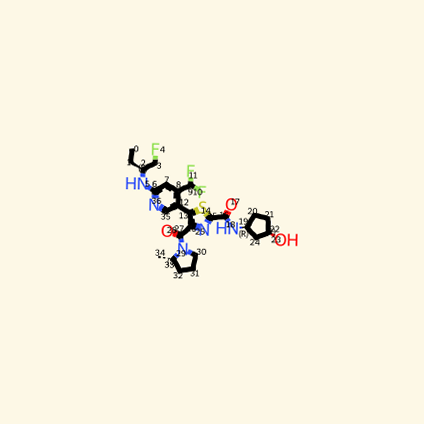 CC[C@@H](CF)Nc1cc(C(F)F)c(-c2sc(C(=O)N[C@@H]3CC[C@@H](O)C3)nc2C(=O)N2CCC[C@@H]2C)cn1